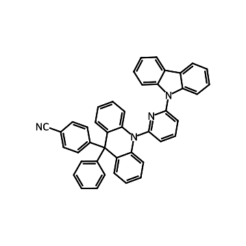 N#Cc1ccc(C2(c3ccccc3)c3ccccc3N(c3cccc(-n4c5ccccc5c5ccccc54)n3)c3ccccc32)cc1